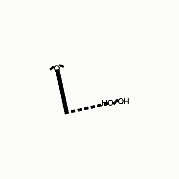 C=C.C=C.C=C.C=C.C=C.C=C.C=C.C=C.C=C.C=C.C=C.C=C.C=C.C=C.C=C.C=C.C=C.C=C.C=C.C=C.C=C.C=C.C=C.CCOCC.OCCO